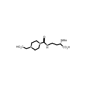 CN[C@@H](CCNC(=O)N1CCN(CC(=O)O)CC1)C(=O)O